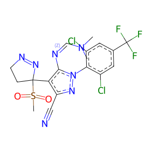 CN(C)/C=N\c1c(C2(S(C)(=O)=O)CCN=N2)c(C#N)nn1-c1c(Cl)cc(C(F)(F)F)cc1Cl